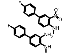 CNc1ccc(-c2ccc(F)cc2)cc1N.CNc1ccc(-c2ccc(F)cc2)cc1[N+](=O)[O-]